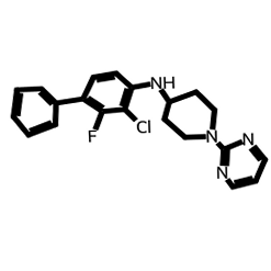 Fc1c(-c2ccccc2)ccc(NC2CCN(c3ncccn3)CC2)c1Cl